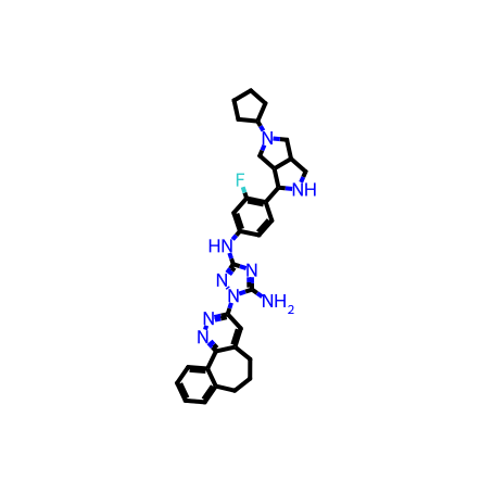 Nc1nc(Nc2ccc(C3NCC4CN(C5CCCC5)CC43)c(F)c2)nn1-c1cc2c(nn1)-c1ccccc1CCC2